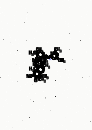 CC1=CC(C)=N/C(=C\C[C@]23CCC(C)(C)C[C@@]2(C)[C@H]2C(=O)C=C4[C@@]5(C)C=C(C#N)C(=O)C(C)(C)C5CC[C@@]4(C)[C@]2(C)CC3)C1